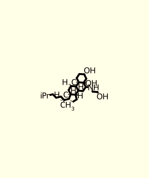 CC(C)CCC[C@@H](C)[C@H]1CC[C@H]2[C@@H]3CC(NCCO)C4(O)CC(O)CC[C@]4(C)[C@H]3CC[C@]12C